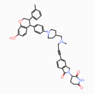 Cc1cccc(C2COc3cc(O)ccc3C2c2ccc(N3CCC(CN(C)CC#Cc4ccc5c(c4)CN(C4CCC(=O)NC4=O)C5=O)CC3)cc2)c1